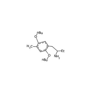 CCCCOc1cc(CC(N)CC)c(OCCCC)cc1C